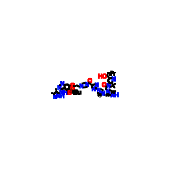 CCCC(O)c1cnc2c(c1)N(C(=O)CN1C[C@@H](C)NC[C@@H]1CN1CCN(c3ncc(C(=O)N4CCN(CCCOc5cc6ncnc(Nc7[nH]nc(C)c7C)c6cc5S(=O)(=O)C(C)(C)C)CC4)cn3)C[C@H]1C)CC2(C)C